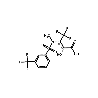 CN([C@@H]([C@@H](O)C(=O)O)C(F)(F)F)S(=O)(=O)c1cccc(C(F)(F)F)c1